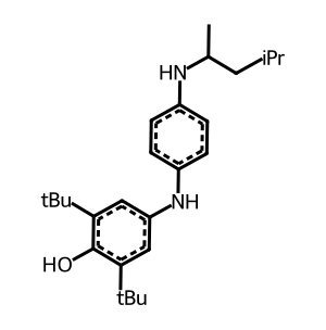 CC(C)CC(C)Nc1ccc(Nc2cc(C(C)(C)C)c(O)c(C(C)(C)C)c2)cc1